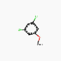 [CH2]C(CCC)Oc1cc(Cl)cc(Cl)c1